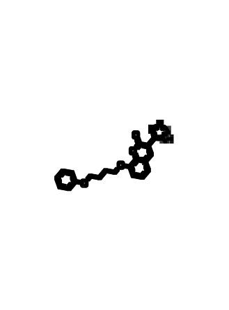 O=c1oc2c(OCCCCOc3ccccc3)cccc2cc1-c1nnn[nH]1